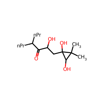 CCCC(CCC)C(=O)C(O)CC1(O)C(O)C1(C)C